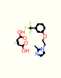 Cc1nccn1CCOc1cccc(C(F)(F)F)c1.O=C(O)/C=C\C(=O)O